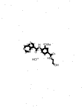 COc1cc(C(=O)NCCO)ccc1NC(=O)c1csc2cncnc12.Cl